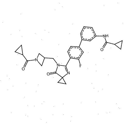 O=C(Nc1cccc(-c2ccc(C3=NC4(CC4)C(=O)N3CC3CN(C(=O)C4CC4)C3)c(F)c2)c1)C1CC1